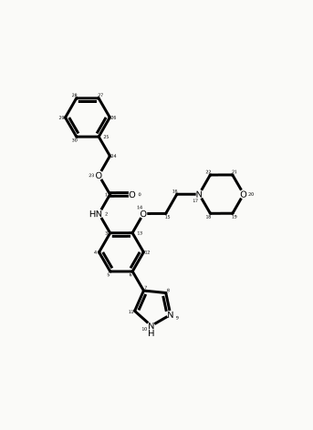 O=C(Nc1ccc(-c2cn[nH]c2)cc1OCCN1CCOCC1)OCc1ccccc1